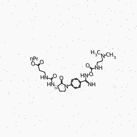 CCCOC(=O)CCNC(=O)N[C@H]1CCN(c2ccc(C(=N)NOC(=O)NCCN(C)C)cc2)C1=O